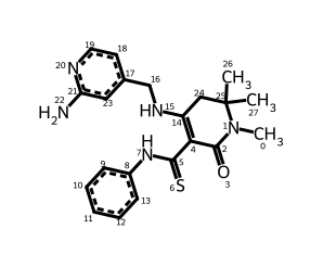 CN1C(=O)C(C(=S)Nc2ccccc2)=C(NCc2ccnc(N)c2)CC1(C)C